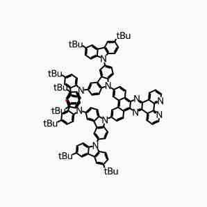 CC(C)(C)c1ccc2c(c1)c1cc(C(C)(C)C)ccc1n2-c1ccc2c(c1)c1cc(-n3c4ccc(C(C)(C)C)cc4c4cc(C(C)(C)C)ccc43)ccc1n2-c1ccc2c(c1)c1cc(-n3c4ccc(-n5c6ccc(C(C)(C)C)cc6c6cc(C(C)(C)C)ccc65)cc4c4cc(-n5c6ccc(C(C)(C)C)cc6c6cc(C(C)(C)C)ccc65)ccc43)ccc1c1nc3c4cccnc4c4ncccc4c3nc21